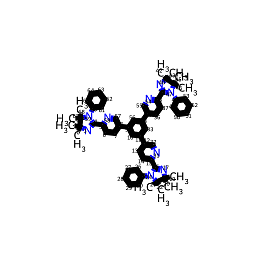 CC1(C)N=C(c2ccc(-c3cc(-c4ccc(C5=NC(C)(C)C(C)(C)N5c5ccccc5)nc4)cc(-c4ccc(C5=NC(C)(C)C(C)(C)N5c5ccccc5)nc4)c3)cn2)N(c2ccccc2)C1(C)C